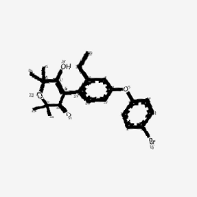 CCc1cc(Oc2ccc(Br)cc2)ccc1C1=C(O)C(C)(C)OC(C)(C)C1=O